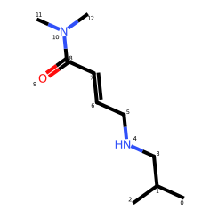 CC(C)CNC/C=C/C(=O)N(C)C